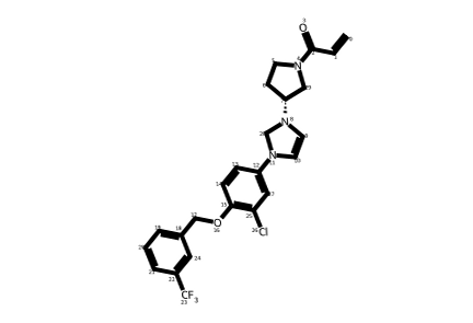 C=CC(=O)N1CC[C@@H](N2C=CN(c3ccc(OCc4cccc(C(F)(F)F)c4)c(Cl)c3)C2)C1